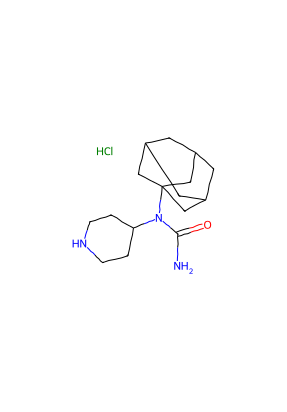 Cl.NC(=O)N(C1CCNCC1)C12CC3CC(CC(C3)C1)C2